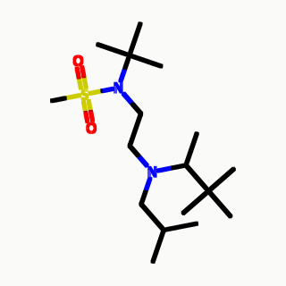 CC(C)CN(CCN(C(C)(C)C)S(C)(=O)=O)C(C)C(C)(C)C